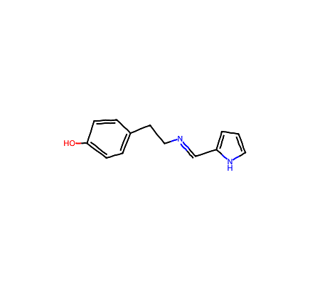 Oc1ccc(CCN=Cc2ccc[nH]2)cc1